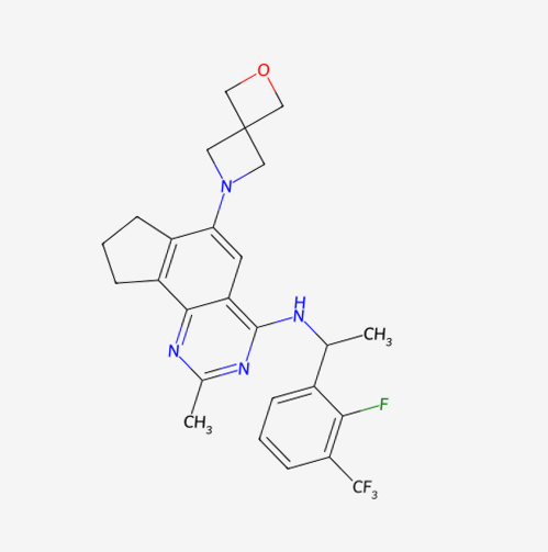 Cc1nc(NC(C)c2cccc(C(F)(F)F)c2F)c2cc(N3CC4(COC4)C3)c3c(c2n1)CCC3